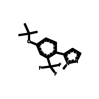 Cn1nccc1-c1ccc(OC(C)(C)C)cc1C(F)(F)F